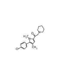 Cc1cc(C(=O)CN2CCCCC2)n(C)c1-c1ccc(Cl)cc1